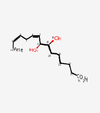 CCCCC/C=C\C/C=C\[C@H](O)[C@@H](O)CCCCCC(=O)O